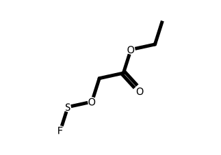 CCOC(=O)COSF